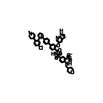 CN1CC=C(c2ccc(Cl)cc2C2CCCN2c2ccc(-c3ccc(C(=O)NS(=O)(=O)c4ccc(NCC5CCOCC5)c([N+](=O)[O-])c4)c(Oc4cnc5[nH]ccc5c4)c3)cc2)CC1